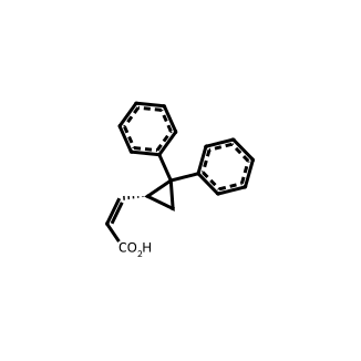 O=C(O)/C=C\[C@H]1CC1(c1ccccc1)c1ccccc1